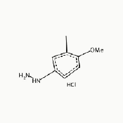 COc1ccc(NN)cc1C.Cl